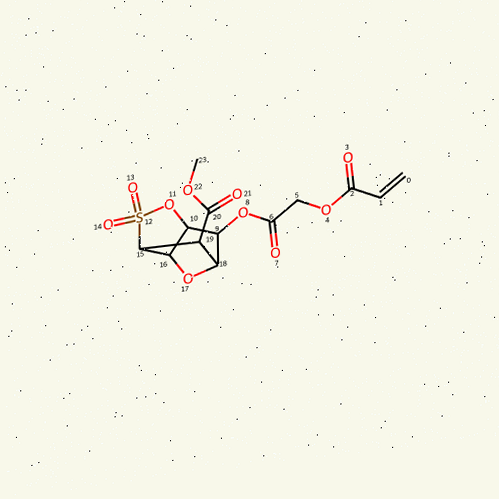 C=CC(=O)OCC(=O)OC1C2OS(=O)(=O)C3C2OC1C3C(=O)OC